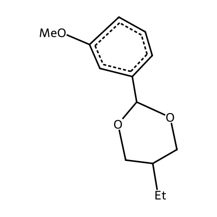 CCC1COC(c2cccc(OC)c2)OC1